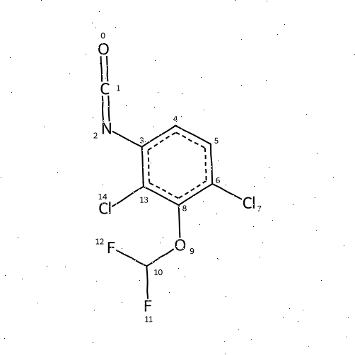 O=C=Nc1ccc(Cl)c(OC(F)F)c1Cl